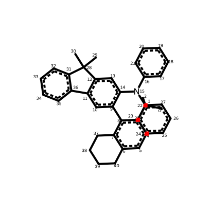 CC(C)c1ccc2c(c1-c1cc3c(cc1N(c1ccccc1)c1ccccc1)C(C)(C)c1ccccc1-3)CCCC2